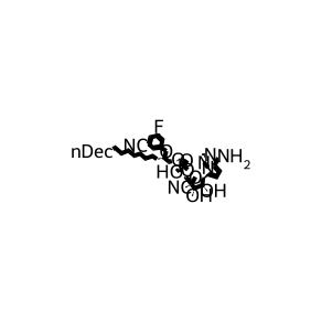 CCCCCCCCCCCCCCCCCC[C@@H](COP(=O)(O)OC[C@@]1(C#N)O[C@@H](c2ccc3c(N)ncnn23)[C@H](O)[C@@H]1O)Oc1cc(F)cc(C#N)c1